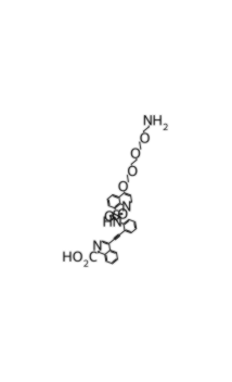 NCCOCCOCCOCCOc1ccnc2c(S(=O)(=O)Nc3ccccc3C#Cc3cnc(C(=O)O)c4ccccc34)cccc12